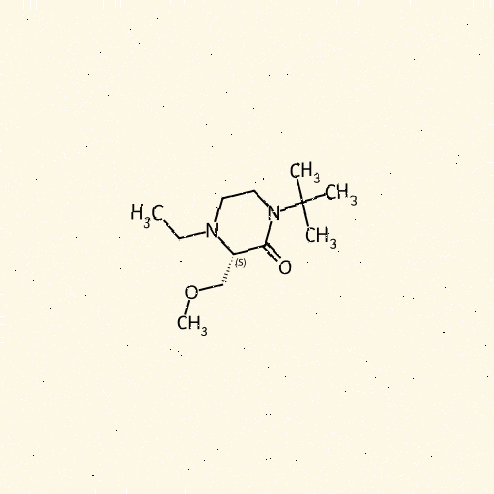 CCN1CCN(C(C)(C)C)C(=O)[C@@H]1COC